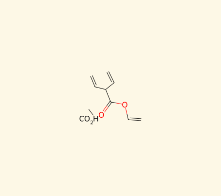 C=COC(=O)C(C=C)C=C.CC(=O)O